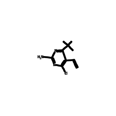 C=Cc1c(Cl)nc(N)nc1C(C)(C)C